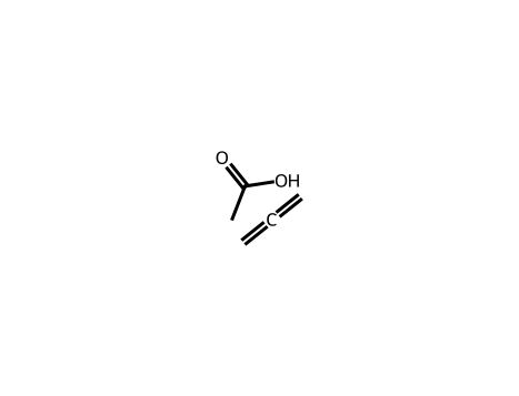 C=C=C.CC(=O)O